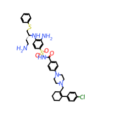 NCC[C@H](CSc1ccccc1)Nc1ccc(S(=O)(=O)NC(=O)c2ccc(N3CCN(CC4=C(c5ccc(Cl)cc5)CCCC4)CC3)cc2)cc1N